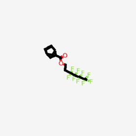 O=C(OCCC(F)(F)C(F)(F)C(F)(F)C(F)(F)F)C1CC2C=CC1C2